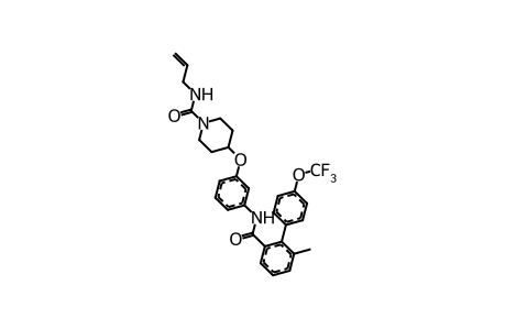 C=CCNC(=O)N1CCC(Oc2cccc(NC(=O)c3cccc(C)c3-c3ccc(OC(F)(F)F)cc3)c2)CC1